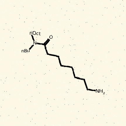 CCCCCCCCN(CCCC)C(=O)CCCCCCCN